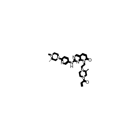 C=CC(=O)N1CCN(CCn2c(=O)ccc3cnc(Nc4ccc(N5CCN(C)[C@@H](C)C5)nc4)nc32)[C@@H](C)C1